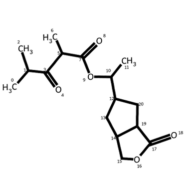 CC(C)C(=O)C(C)C(=O)OC(C)C1CC2COC(=O)C2C1